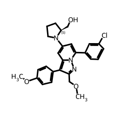 COCc1nn2c(-c3cccc(Cl)c3)cc(N3CCC[C@H]3CO)cc2c1-c1ccc(OC)cc1